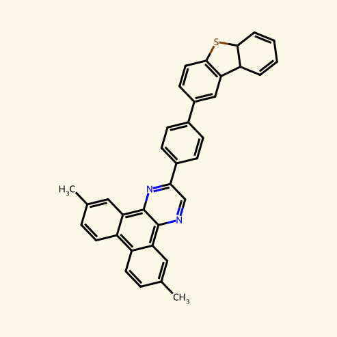 Cc1ccc2c3ccc(C)cc3c3nc(-c4ccc(-c5ccc6c(c5)C5C=CC=CC5S6)cc4)cnc3c2c1